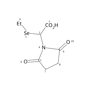 CC[Se]C(C(=O)O)N1C(=O)CCC1=O